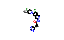 N#CC1(F)CCN(c2cc3cc(NC(=O)[C@@H]4C[C@H]4c4cncnc4)ncc3cc2Cl)CC1